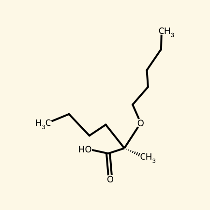 CCCCCO[C@](C)(CCCC)C(=O)O